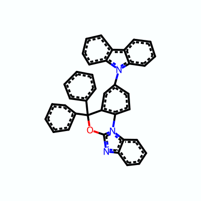 c1ccc(C2(c3ccccc3)Oc3nc4ccccc4n3-c3ccc(-n4c5ccccc5c5ccccc54)cc32)cc1